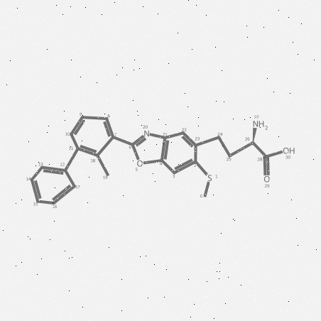 CSc1cc2oc(-c3cccc(-c4ccccc4)c3C)nc2cc1CC[C@@H](N)C(=O)O